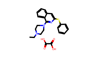 CCN1CCN(c2nc(Sc3ccccc3)cc3ccccc23)CC1.O=C(O)C(=O)O